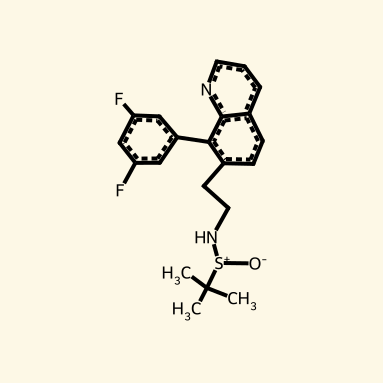 CC(C)(C)[S+]([O-])NCCc1ccc2cccnc2c1-c1cc(F)cc(F)c1